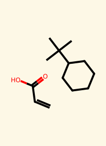 C=CC(=O)O.CC(C)(C)C1CCCCC1